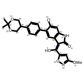 COc1cc(/C(O)=C2\C(=O)Nc3cc(Cl)c(-c4ccc(C5COC(C)(C)OC5)cc4)cc32)on1